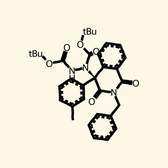 Cc1cccc([C@@]2(N(NC(=O)OC(C)(C)C)C(=O)OC(C)(C)C)C(=O)N(Cc3ccccc3)C(=O)c3ccccc32)c1